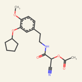 COc1ccc(CCNC(=O)C(C#N)OC(C)=O)cc1OC1CCCC1